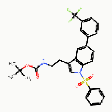 CC(C)(C)OC(=O)NCCc1cn(S(=O)(=O)c2ccccc2)c2ccc(-c3cccc(C(F)(F)F)c3)cc12